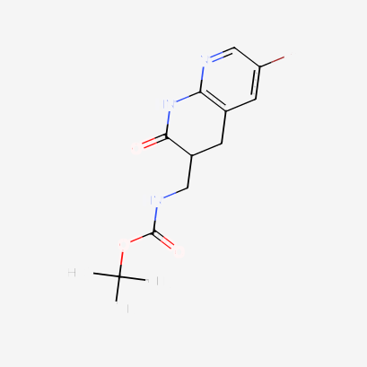 CC(C)(C)OC(=O)NCC1Cc2cc(Br)cnc2NC1=O